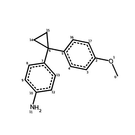 COc1ccc(C2(c3ccc(N)cc3)CC2)cc1